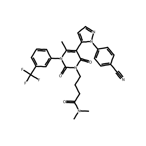 Cc1c(-c2ccnn2-c2ccc(C#N)cc2)c(=O)n(CCCC(=O)N(C)C)c(=O)n1-c1cccc(C(F)(F)F)c1